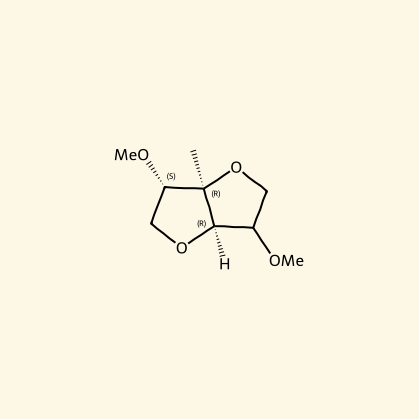 COC1CO[C@]2(C)[C@@H](OC)CO[C@H]12